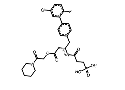 O=C(CCP(=O)(O)O)N[C@@H](CC(=O)OCC(=O)N1CCCCC1)Cc1ccc(-c2cc(Cl)ccc2F)cc1